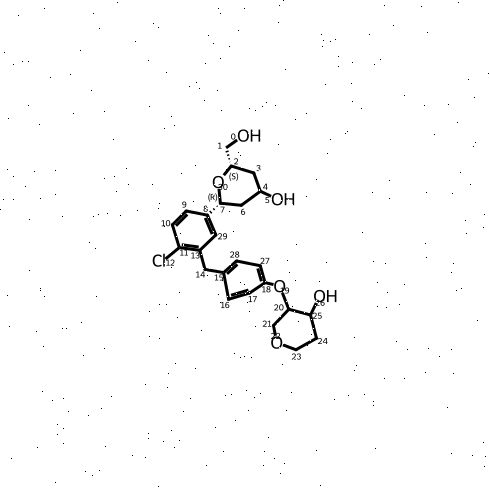 OC[C@@H]1CC(O)C[C@H](c2ccc(Cl)c(Cc3ccc(OC4COCCC4O)cc3)c2)O1